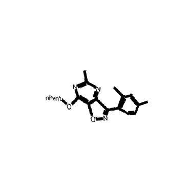 CCCCCOc1nc(C)nc2c(-c3ccc(C)cc3C)noc12